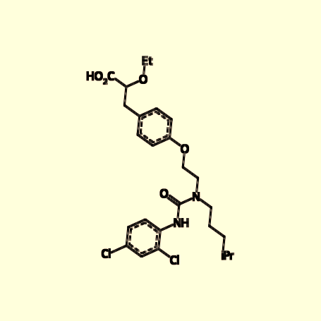 CCOC(Cc1ccc(OCCN(CCCC(C)C)C(=O)Nc2ccc(Cl)cc2Cl)cc1)C(=O)O